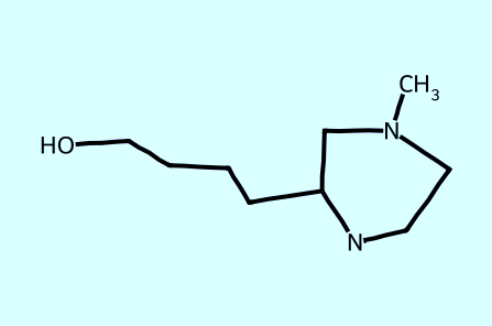 CN1CC[N]C(CCCCO)C1